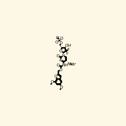 COc1cc(OC)c2oc(COC(=O)Nc3ccn([C@@H]4O[C@H](COP(=O)([O-])[O-])[C@@H](O)C4(F)F)c(=O)n3)cc2c1.[Na+].[Na+]